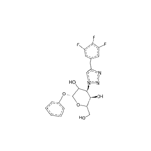 OCC1O[C@H](Oc2ccccc2)C(O)[C@@H](n2cc(-c3cc(F)c(F)c(F)c3)nn2)[C@H]1O